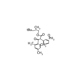 Cc1cc(C)c(C(=O)C(C(=O)OCC(C)CC(C)(C)C)c2ccccc2)c(C)c1.O=[PH3]